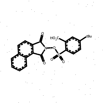 CC(C)(C)c1ccc(S(=O)(=O)ON2C(=O)c3ccc4ccccc4c3C2=O)c(C(=O)O)c1